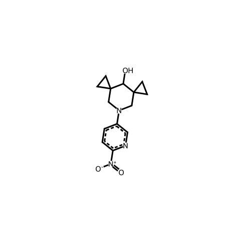 O=[N+]([O-])c1ccc(N2CC3(CC3)C(O)C3(CC3)C2)cn1